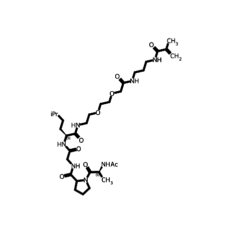 C=C(C)C(=O)NCCCNC(=O)COCCOCCNC(=O)[C@H](CCC(C)C)NC(=O)CNC(=O)C1CCCN1C(=O)[C@H](C)NC(C)=O